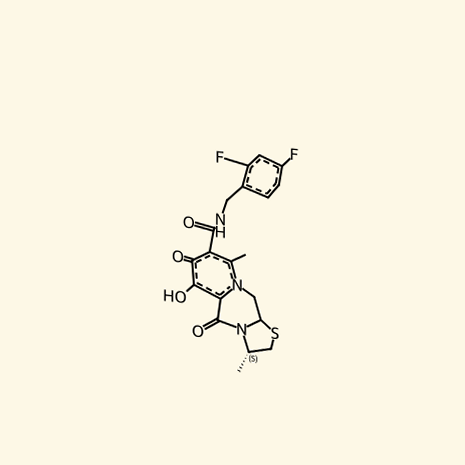 Cc1c(C(=O)NCc2ccc(F)cc2F)c(=O)c(O)c2n1CC1SC[C@H](C)N1C2=O